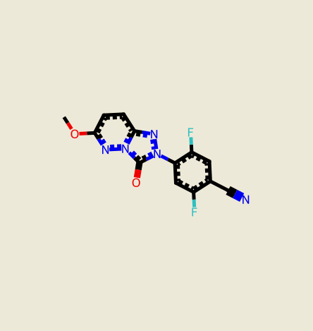 COc1ccc2nn(-c3cc(F)c(C#N)cc3F)c(=O)n2n1